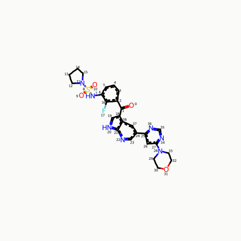 O=C(c1cccc(NS(=O)(=O)N2CCCC2)c1F)c1c[nH]c2ncc(-c3cc(N4CCOCC4)ncn3)cc12